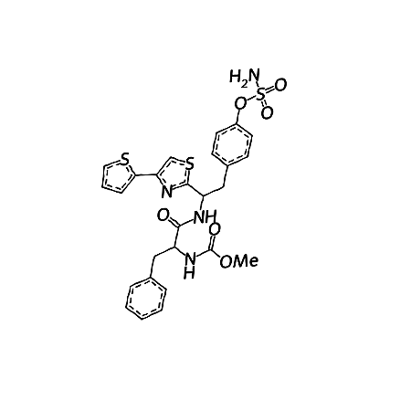 COC(=O)NC(Cc1ccccc1)C(=O)NC(Cc1ccc(OS(N)(=O)=O)cc1)c1nc(-c2cccs2)cs1